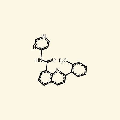 O=C(Nc1ccncn1)c1cccc2ccc(-c3ccccc3C(F)(F)F)nc12